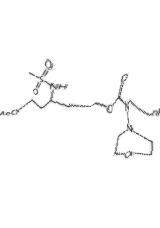 [CH2]CCN(C(=O)OCCC(CCOC)NS(C)(=O)=O)N1CCOCC1